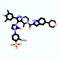 CCP(=O)(CC)c1ccc(-n2ccn(-c3c(-c4cc(C)c(F)c(C)c4)nn4c3C(C)N(C(=O)c3cc5cc(C6CCOCC6)ccc5[nH]3)CC4)c2=O)cc1NC